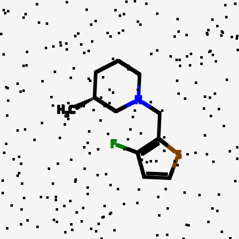 C[C@@H]1CCCN(Cc2sccc2F)C1